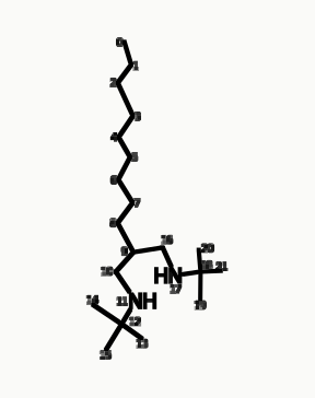 CCCCCCCCCC(CNC(C)(C)C)CNC(C)(C)C